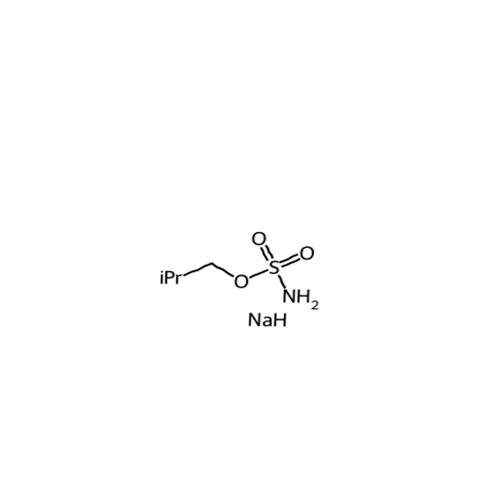 CC(C)COS(N)(=O)=O.[NaH]